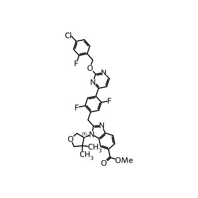 COC(=O)c1ccc2nc(Cc3cc(F)c(-c4ccnc(OCc5ccc(Cl)cc5F)n4)cc3F)n([C@@H]3COCC3(C)C)c2c1